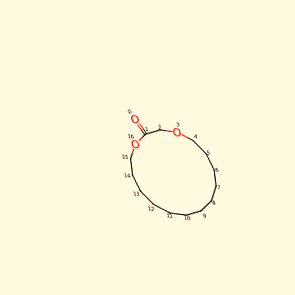 O=C1COCCCCCCCCCCCCO1